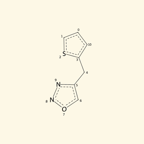 c1csc(Cc2conn2)c1